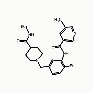 CCc1ccc(CN2CCC(C(=O)NC(C)(C)C)CC2)cc1NC(=O)c1cncc(C)c1